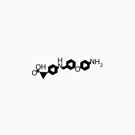 Nc1ccc(Oc2cccc(CNc3ccc([C@H]4C[C@@H]4C(=O)O)cc3)c2)cc1